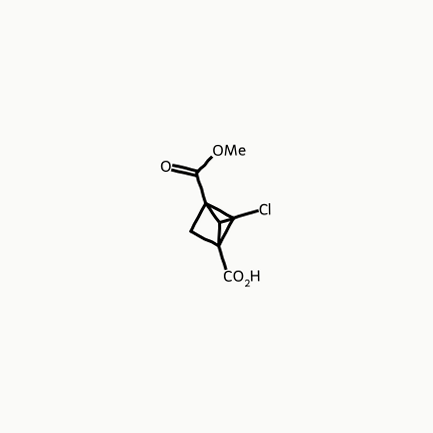 COC(=O)C12CC(C(=O)O)(C1)C2Cl